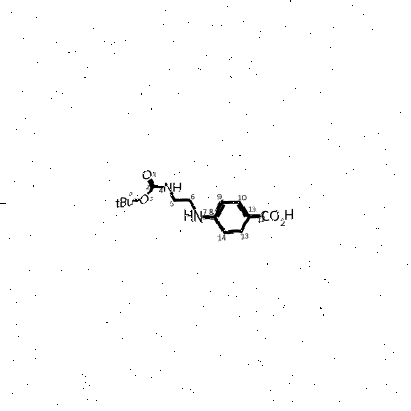 CC(C)(C)OC(=O)NCCNC1=CC=C(C(=O)O)CC1